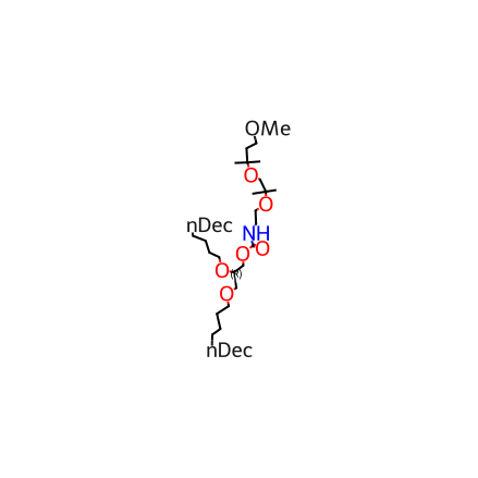 CCCCCCCCCCCCCCOC[C@H](COC(=O)NCCOC(C)(C)COC(C)(C)CCOC)OCCCCCCCCCCCCCC